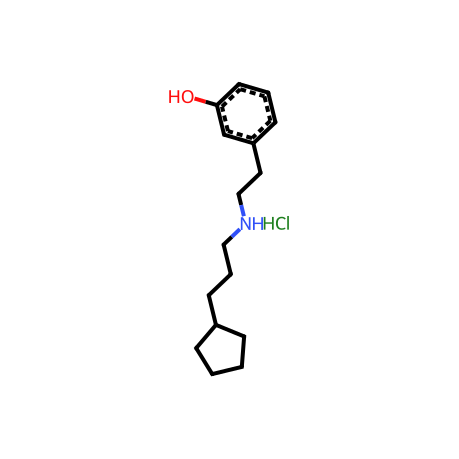 Cl.Oc1cccc(CCNCCCC2CCCC2)c1